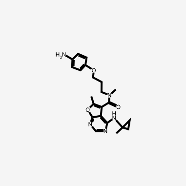 Cc1oc2ncnc(NC3(C)CC3)c2c1C(=O)N(C)CCCOc1ccc(N)cc1